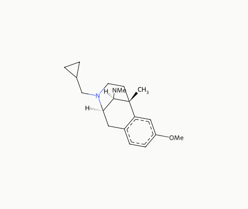 CN[C@@H]1[C@H]2Cc3ccc(OC)cc3[C@@]1(C)CCN2CC1CC1